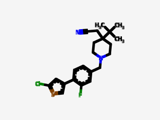 CC(C)(C)C1(CC#N)CCN(Cc2ccc(-c3csc(Cl)c3)c(F)c2)CC1